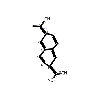 C/C(C#N)=c1/ccc2cc(=C(C#N)C#N)ccc2c1